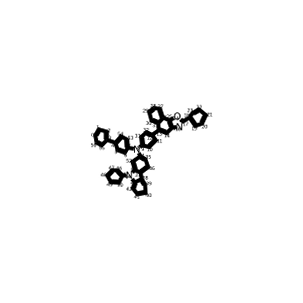 c1ccc(-c2ccc(N(c3ccc(-c4cc5nc(-c6ccccc6)oc5c5ccccc45)cc3)c3ccc4c5ccccc5n(-c5ccccc5)c4c3)cc2)cc1